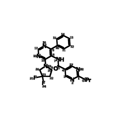 CC(C)c1ncc(C(=O)Nc2c(-c3ccccc3)ncnc2N2CCC(F)(F)C2)cn1